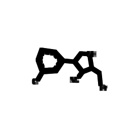 CC(C)CC1NCC(c2cccc(Cl)c2)C1C#N